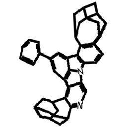 c1ccc(-c2cc3c4c5c(ccc4n4c6cnc7c(c6c(c2)c34)C2CC3CC(CC7C3)C2)C2CC3CC4CC5CC34C2)cc1